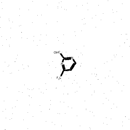 O=Cc1nccc(C(F)(F)F)n1